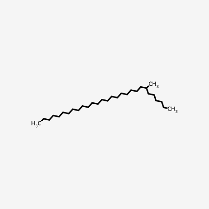 CCCCCCCCCCCCCCCCCCCCCCC(C)CCCCCC